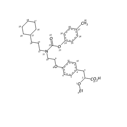 CCOC(Cc1ccc(OCCN(CCCC2CCCCC2)C(=O)Oc2ccc(C)cc2)cc1)C(=O)O